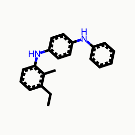 CCc1cccc(Nc2ccc(Nc3ccccc3)cc2)c1C